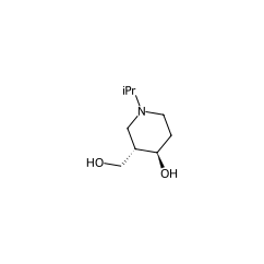 CC(C)N1CC[C@@H](O)[C@H](CO)C1